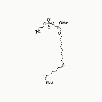 CCCC/C=C\CCCC/C=C\CCCCCCCCOC[C@H](COP(=O)([O-])OCC[N+](C)(C)C)OC